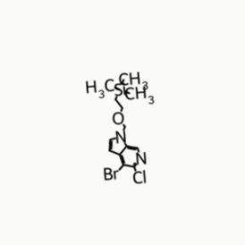 C[Si](C)(C)CCOCn1ccc2c(Br)c(Cl)ncc21